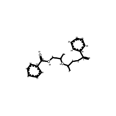 C=C(CCC(C)OC(C)COC(=O)c1ccccc1)c1ccccc1